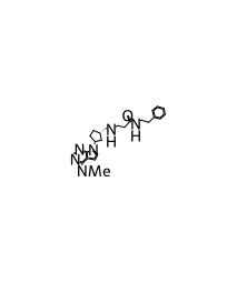 CNc1ncnc2c1ccn2[C@H]1CC[C@H](CNCCC(=O)NCCc2ccccc2)C1